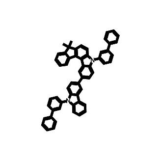 CC1(C)c2ccccc2-c2c1ccc1c2c2cc(-c3ccc4c(c3)c3ccccc3n4-c3cccc(-c4ccccc4)c3)ccc2n1-c1cccc(-c2ccccc2)c1